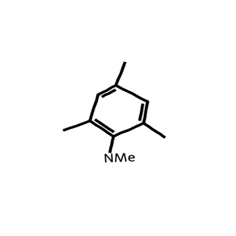 CNc1c(C)cc(C)cc1C